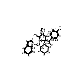 CCN1C(=O)N(On2ccc3ccccc32)C(C(C)c2ccc(F)cc2)(N2CCCCC2)C1Cl